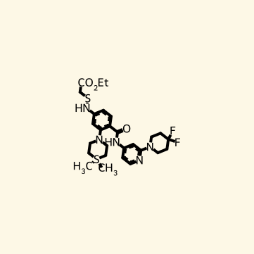 CCOC(=O)CSNc1ccc(C(=O)Nc2ccnc(N3CCC(F)(F)CC3)c2)c(N2CCS(C)(C)CC2)c1